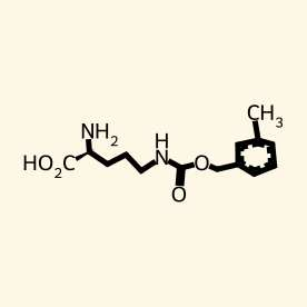 Cc1cccc(COC(=O)NCCC[C@H](N)C(=O)O)c1